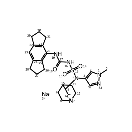 Cn1cc(N(C2CN3CCC2CC3)S(=O)(=O)NC(=O)Nc2c3c(cc4c2CCC4)CCC3)cn1.[Na]